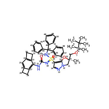 CC(C)(C)[Si](C)(C)OC[C@@]1(C)Cn2ncc([S@@](=O)(=NC(=O)Nc3c4c(cc5c3CC5)CC4)NC(c3ccccc3)(c3ccccc3)c3ccccc3)c2O1